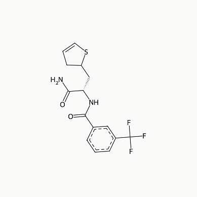 NC(=O)[C@H](CC1CC=CS1)NC(=O)c1cccc(C(F)(F)F)c1